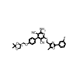 Cc1oc(-c2cccc(F)c2)nc1CSc1nc(N)c(C#N)c(-c2ccc(OC[C@H]3COC(C)(C)O3)cc2)c1C#N